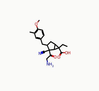 CCC1(C(=O)O)C2CC(Cc3ccc(OC)c(C)c3)C(C#N)(C(=O)CN)C21